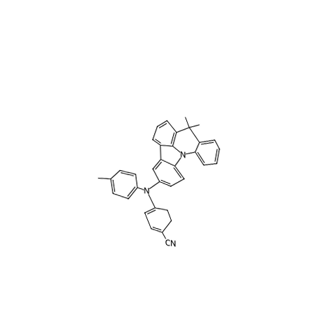 Cc1ccc(N(C2=CC=C(C#N)CC2)c2ccc3c(c2)c2cccc4c2n3-c2ccccc2C4(C)C)cc1